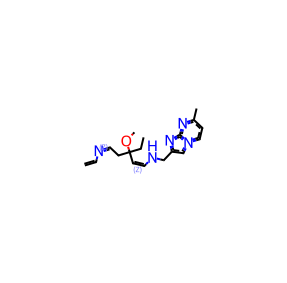 C=C/N=C\CC(/C=C\NCc1cn2ccc(C)nc2n1)(CC)OC